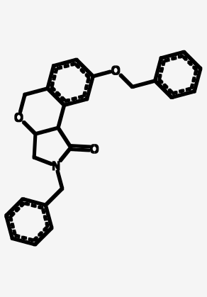 O=C1C2c3cc(OCc4ccccc4)ccc3COC2CN1Cc1ccccc1